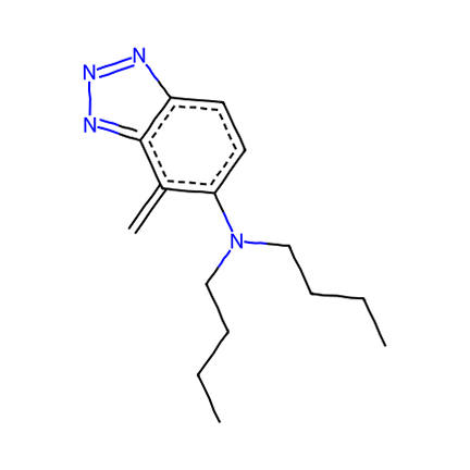 C=c1c(N(CCCC)CCCC)ccc2c1=NN=N2